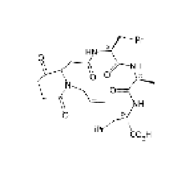 C=CCN1C(=O)CCC(=O)C1CC(=O)N[C@@H](CC(C)C)C(=O)N[C@@H](C)C(=O)N[C@@H](CC(C)C)C(=O)O